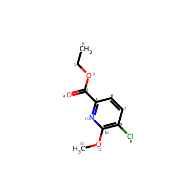 CCOC(=O)c1ccc(Cl)c(OC)n1